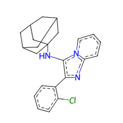 Clc1ccccc1-c1nc2ccccn2c1NC12CC3CC(CC(C3)C1)C2